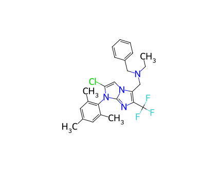 CCN(Cc1ccccc1)Cc1c(C(F)(F)F)nc2n(-c3c(C)cc(C)cc3C)c(Cl)cn12